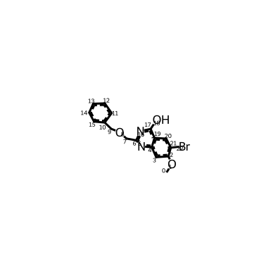 COc1cc2nc(COCc3ccccc3)nc(O)c2cc1Br